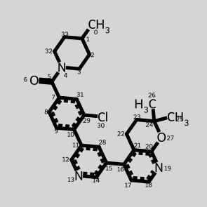 CC1CCN(C(=O)c2ccc(-c3cncc(-c4ccnc5c4CCC(C)(C)O5)c3)c(Cl)c2)CC1